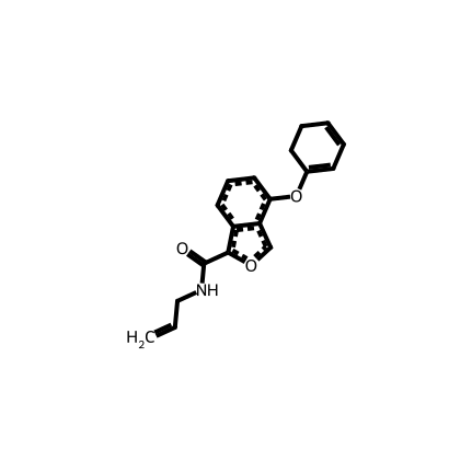 C=CCNC(=O)c1occ2c(OC3=CC=CCC3)cccc12